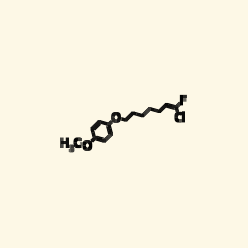 COc1ccc(OCCCCCC=C(F)Cl)cc1